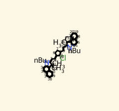 CCCCN1/C(=C/C=C2\CCC(/C=C/C3=[N+](CCCC)c4ccc5ccccc5c4C3(C)C)C2Cl)C(C)(C)c2c1ccc1ccccc21